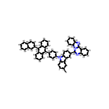 Cc1ccc2c(c1)c1cc(-c3nc4ccccc4c4nc5ccccc5n34)ccc1n2-c1ccc(-c2c3ccccc3c(-c3ccc4ccccc4c3)c3ccccc23)cc1